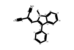 Cn1c(C=C(C#N)C#N)c(-c2ccccc2)c2ccccc21